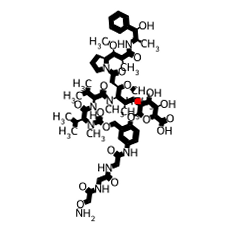 CC[C@H](C)[C@@H]([C@@H](CC(=O)N1CCC[C@H]1[C@H](OC)[C@@H](C)C(=O)N[C@H](C)[C@@H](O)c1ccccc1)OC)N(C)C(=O)[C@@H](NC(=O)[C@H](C(C)C)N(C)C(=O)OCc1cc(NC(=O)CNC(=O)CNC(=O)CON)ccc1O[C@@H]1OC(C(=O)O)[C@@H](O)C(O)C1O)C(C)C